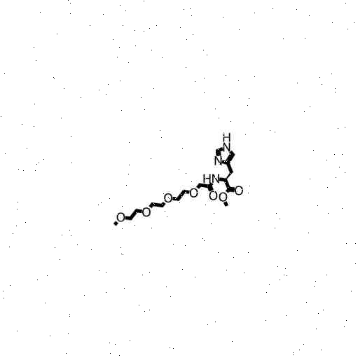 COCCOCCOCCOCC(=O)N[C@@H](Cc1c[nH]cn1)C(=O)OC